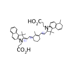 CC1=C(/C=C/C2=[N+](CCC(=O)O)c3ccc4c(c3C2(C)C)C=CCC4C)CCC/C1=C\C=C1\N(CCC(=O)O)c2ccc3ccccc3c2C1(C)C